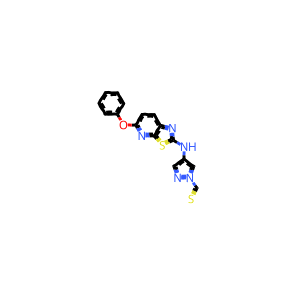 S=Cn1cc(Nc2nc3ccc(Oc4ccccc4)nc3s2)cn1